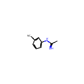 CC(=N)Nc1cccc(C#N)c1